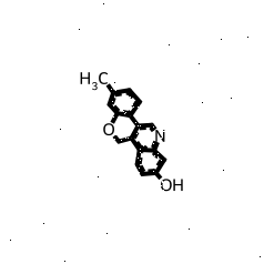 Cc1ccc2c(c1)OCc1c-2cnc2cc(O)ccc12